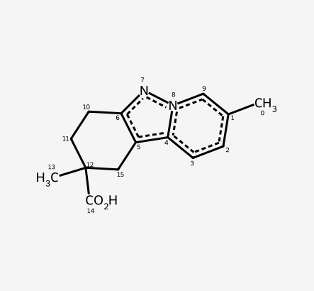 Cc1ccc2c3c(nn2c1)CCC(C)(C(=O)O)C3